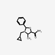 CC1C(C(N)=O)OC(c2ccccc2)N1CC1CC1